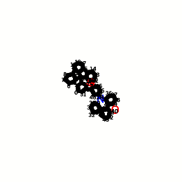 C1=CC(C2(c3ccccc3)c3ccccc3-c3ccccc32)C2Oc3ccc(N(c4ccccc4)c4cccc5oc6ccccc6c45)cc3C2=C1